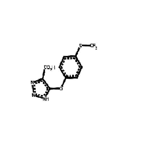 O=C(O)c1nn[nH]c1Oc1ccc(SC(F)(F)F)cc1